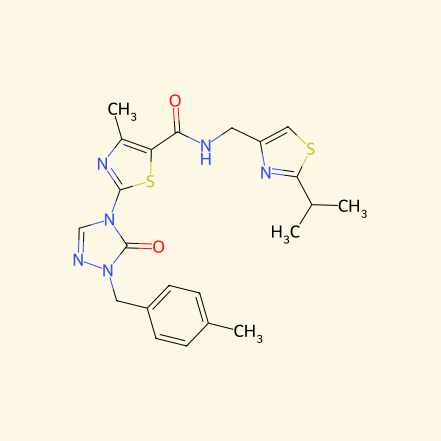 Cc1ccc(Cn2ncn(-c3nc(C)c(C(=O)NCc4csc(C(C)C)n4)s3)c2=O)cc1